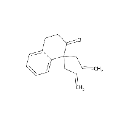 C=CCC1(CC=C)C(=O)CCc2ccccc21